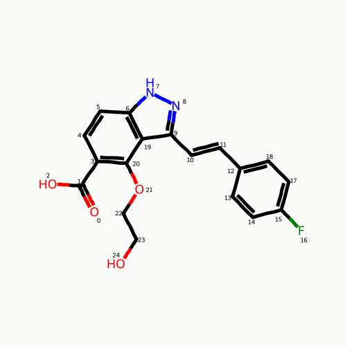 O=C(O)c1ccc2[nH]nc(C=Cc3ccc(F)cc3)c2c1OCCO